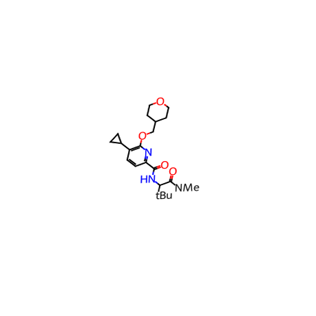 CNC(=O)C(NC(=O)c1ccc(C2CC2)c(OCC2CCOCC2)n1)C(C)(C)C